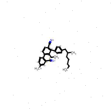 CCCCCC(C)Cc1ccc(-c2c(C#N)[c]cc(-c3ccc(C)cc3C#N)c2CC)cc1